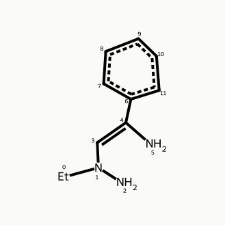 CCN(N)/C=C(\N)c1ccccc1